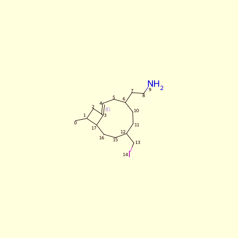 CC1C/C2=C\CC(CCN)CCC(CI)CCC21